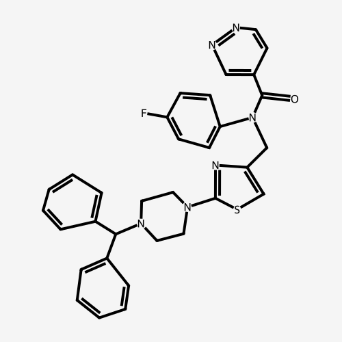 O=C(c1ccnnc1)N(Cc1csc(N2CCN(C(c3ccccc3)c3ccccc3)CC2)n1)c1ccc(F)cc1